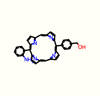 Nc1ccccc1C1=C2C=CC(=N2)C=C2C=CC(=N2)C(c2ccc(CO)cc2)=C2C=CC(=N2)C=C2C=CC1=N2